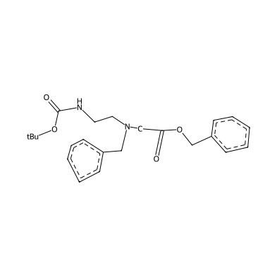 CC(C)(C)OC(=O)NCCN(CC(=O)OCc1ccccc1)Cc1ccccc1